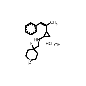 CC(=Cc1ccccc1)C1CC1NCC1(F)CCNCC1.Cl.Cl